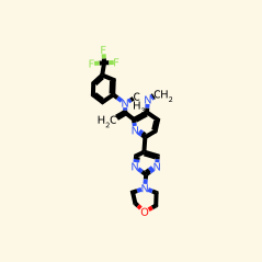 C=Nc1ccc(-c2cnc(N3CCOCC3)nc2)nc1C(=C)N(C)c1cccc(C(F)(F)F)c1